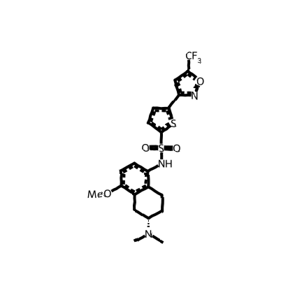 COc1ccc(NS(=O)(=O)c2ccc(-c3cc(C(F)(F)F)on3)s2)c2c1C[C@@H](N(C)C)CC2